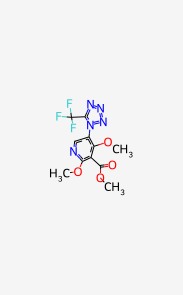 COC(=O)c1c(OC)ncc(-n2nnnc2C(F)(F)F)c1OC